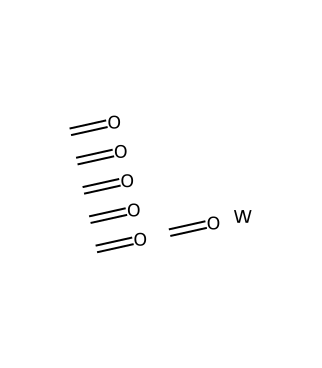 C=O.C=O.C=O.C=O.C=O.C=O.[W]